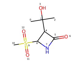 CC(C)(O)C1C(=O)NC1S(C)(=O)=O